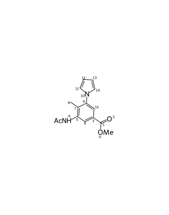 COC(=O)c1cc(NC(C)=O)c(C)c(-n2cccc2)c1